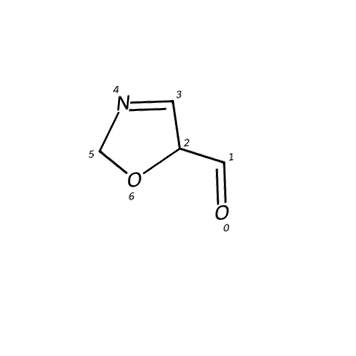 O=CC1C=NCO1